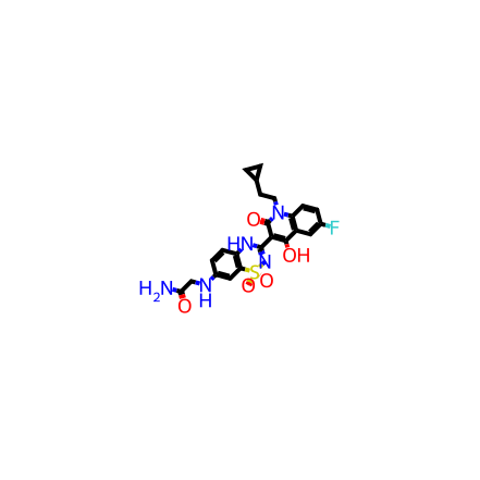 NC(=O)CNc1ccc2c(c1)S(=O)(=O)N=C(c1c(O)c3cc(F)ccc3n(CCC3CC3)c1=O)N2